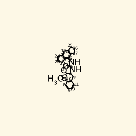 COC(=O)C(Cc1ccccc1)NC(=O)Nc1c2c(cc3c1CCC3)CCC2